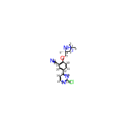 CC(C)C[C@](C)(N)COc1ccc(-c2ccnc(Cl)n2)cc1C#N